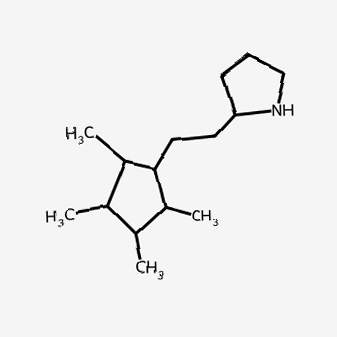 CC1C(C)C(C)C(CCC2CCCN2)C1C